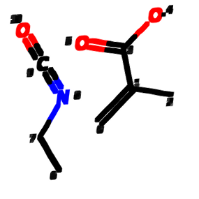 C=C(C)C([O])=O.CCN=C=O